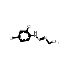 CCN=NNc1ccc(Cl)cc1Cl